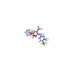 CC(C)(C)OC(=O)N1C2CC1CN(c1ccc(Nc3ncc(C(F)(F)F)c(Cl)n3)c(C3CC3)c1)C2